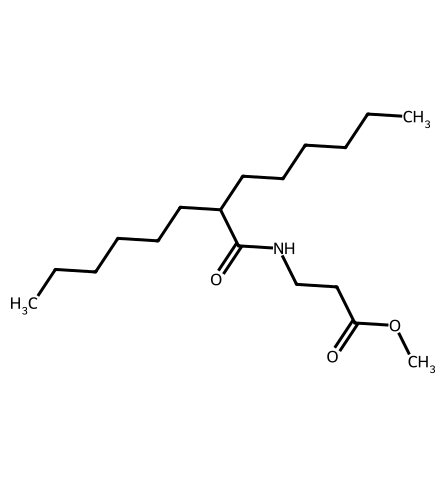 CCCCCCC(CCCCCC)C(=O)NCCC(=O)OC